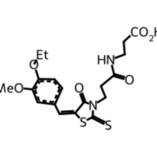 CCOc1ccc(/C=C2/SC(=S)N(CCC(=O)NCCC(=O)O)C2=O)cc1OC